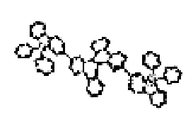 c1ccc([Si]2(c3ccccc3)c3ccccc3-c3ccc(-c4ccc5c6ccccc6c6c7cc(-c8ccc9c(c8)[Si](c8ccccc8)(c8ccccc8)c8ccccc8-9)ccc7c7ccccc7c6c5c4)cc32)cc1